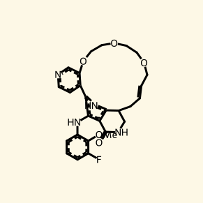 COc1c(F)cccc1Nc1c2[nH]c3c1C(=O)NCC3C/C=C/COCCOCCOc1cnccc1-2